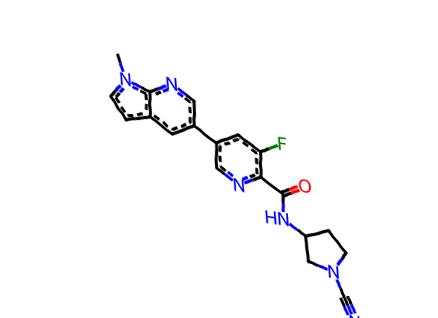 Cn1ccc2cc(-c3cnc(C(=O)NC4CCN(C#N)C4)c(F)c3)cnc21